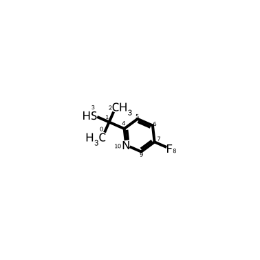 CC(C)(S)c1ccc(F)cn1